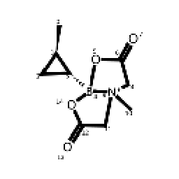 C[C@@H]1C[C@H]1[B-]12OC(=O)C[N+]1(C)CC(=O)O2